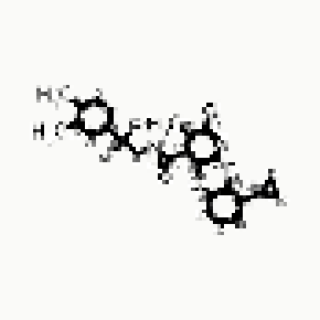 Cc1ccc(C(F)(F)CNC(=O)c2c(Oc3cccc(C4CC4)c3F)cnc(Cl)c2C)cc1C